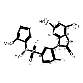 COc1ccccc1N(C)S(=O)(=O)c1ccc(F)c(-n2c(=O)[nH]c3c(C)cc(C(=O)O)nc32)c1